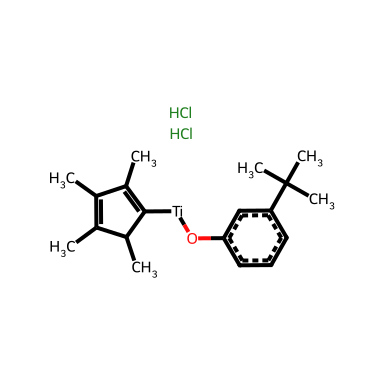 CC1=C(C)C(C)[C]([Ti][O]c2cccc(C(C)(C)C)c2)=C1C.Cl.Cl